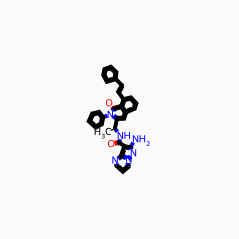 C[C@@H](NC(=O)c1c(N)nn2cccnc12)c1cc2cccc(/C=C/c3ccccc3)c2c(=O)n1-c1ccccc1